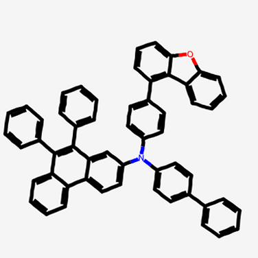 c1ccc(-c2ccc(N(c3ccc(-c4cccc5oc6ccccc6c45)cc3)c3ccc4c(c3)c(-c3ccccc3)c(-c3ccccc3)c3ccccc34)cc2)cc1